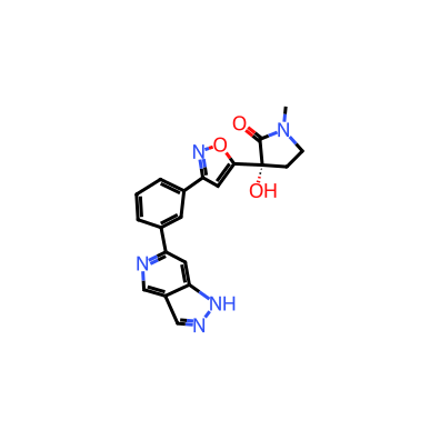 CN1CC[C@@](O)(c2cc(-c3cccc(-c4cc5[nH]ncc5cn4)c3)no2)C1=O